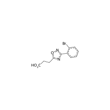 O=C(O)CCc1nc(-c2ccccc2Br)no1